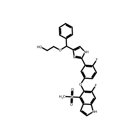 CS(=O)(=O)c1c(Oc2ccc(F)c(-c3nc(C(OCCO)c4ccccc4)c[nH]3)c2)c(F)cc2[nH]ccc12